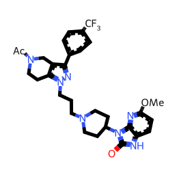 COc1ccc2[nH]c(=O)n(C3CCN(CCCn4nc(-c5ccc(C(F)(F)F)cc5)c5c4CCN(C(C)=O)C5)CC3)c2n1